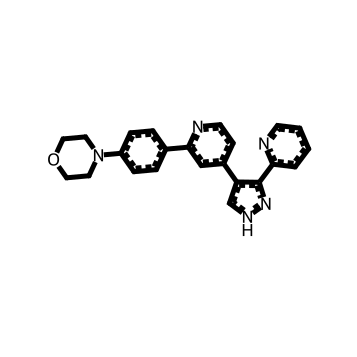 c1ccc(-c2n[nH]cc2-c2ccnc(-c3ccc(N4CCOCC4)cc3)c2)nc1